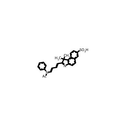 CC(=O)N(/C=C/C=C/C1=Nc2ccc3cc(S(=O)(=O)O)ccc3c2C1(C)C)c1ccccc1